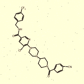 N#Cc1ccc(C(=O)N2CCC(N3CCN(c4ncc(C(=O)NCc5ccc(C(F)(F)F)cc5)cc4Cl)CC3)CC2)cc1